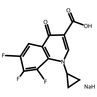 O=C(O)c1cn(C2CC2)c2c(F)c(F)c(F)cc2c1=O.[NaH]